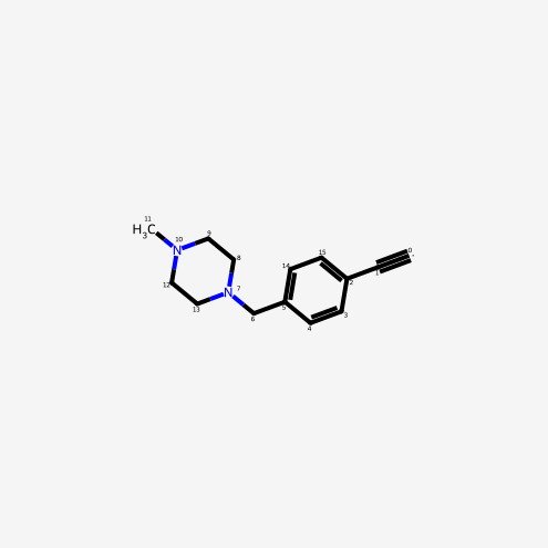 [C]#Cc1ccc(CN2CCN(C)CC2)cc1